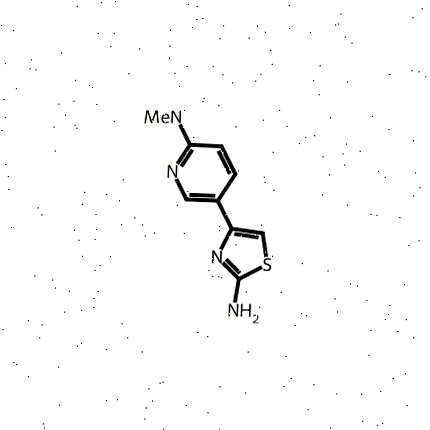 CNc1ccc(-c2csc(N)n2)cn1